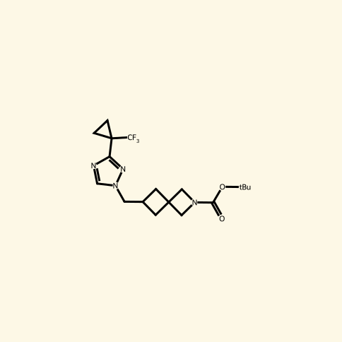 CC(C)(C)OC(=O)N1CC2(CC(Cn3cnc(C4(C(F)(F)F)CC4)n3)C2)C1